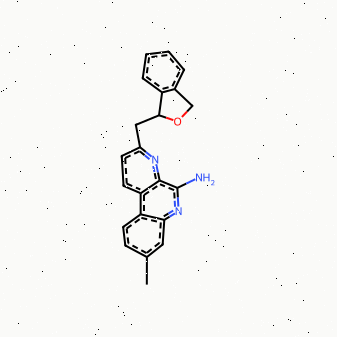 Cc1ccc2c(c1)nc(N)c1nc(CC3OCc4ccccc43)ccc12